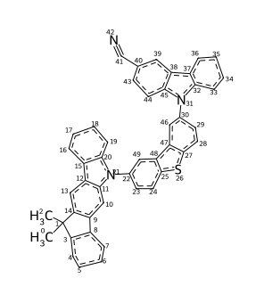 CC1(C)c2ccccc2-c2cc3c(cc21)c1ccccc1n3-c1ccc2sc3ccc(-n4c5ccccc5c5cc(C#N)ccc54)cc3c2c1